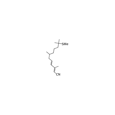 CSC(C)(C)CCCC(C)C/C=C/C(C)=C/C#N